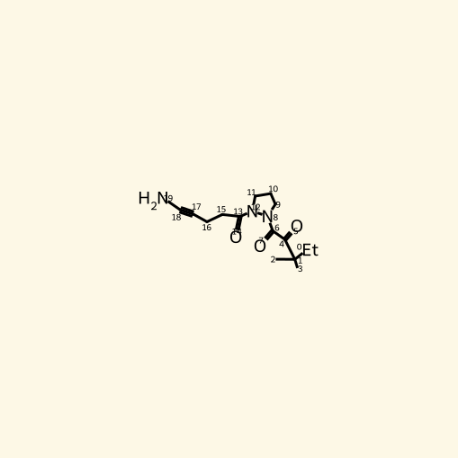 CCC(C)(C)C(=O)C(=O)N1CCCN1C(=O)CCC#CN